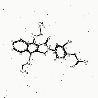 CCOc1c2c(c(OCC)c3ccccc13)C(=O)N(c1ccc(CC(=O)O)c(I)c1)C2